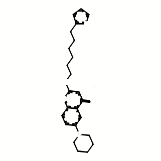 Cl.O=c1cc(OCCCCCCc2cccs2)oc2ccc(N3CCCCC3)cc12